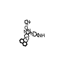 Cc1cccc2cccc(C3Cc4nc(OC[C@@H]5CCCN5C)nc(N5CCC6(CC5)CNC6)c4CO3)c12